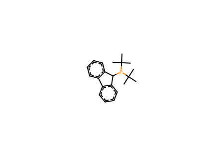 CC(C)(C)P(C1c2ccccc2-c2ccccc21)C(C)(C)C